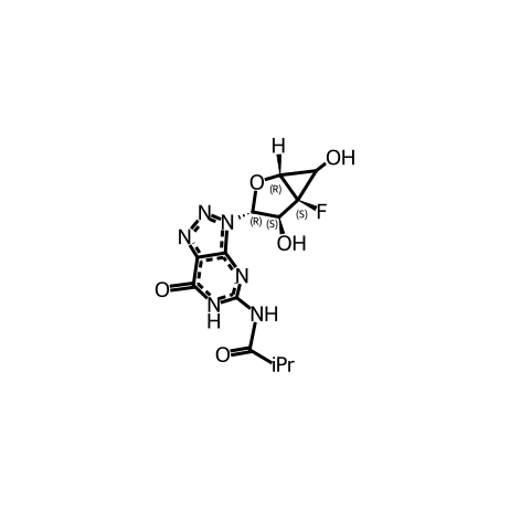 CC(C)C(=O)Nc1nc2c(nnn2[C@@H]2O[C@@H]3C(O)[C@]3(F)[C@H]2O)c(=O)[nH]1